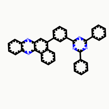 c1ccc(-c2nc(-c3ccccc3)nc(-c3cccc(-c4cc5nc6ccccc6nc5c5ccccc45)c3)n2)cc1